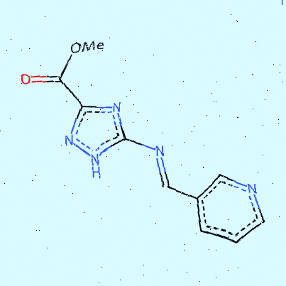 COC(=O)c1n[nH]c(N=Cc2cccnc2)n1